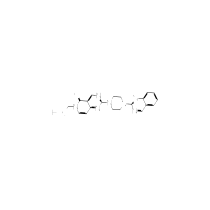 CCn1ccc2nc(N3CCN(c4ncc5ccccc5n4)CC3)ncc2c1=O